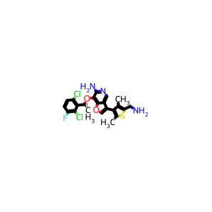 Cc1sc(CN)c(C)c1-c1coc2c(O[C@H](C)c3c(Cl)ccc(F)c3Cl)c(N)ncc12